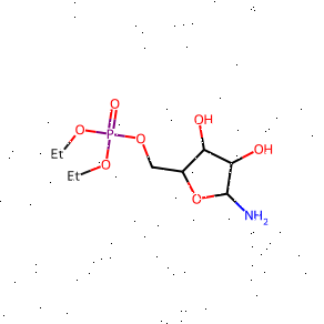 CCOP(=O)(OCC)OCC1OC(N)C(O)C1O